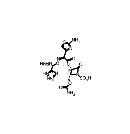 NC(=O)OC[C@@H]1[C@H](NC(=O)/C(=N\OCc2nnn[nH]2)c2csc(N)n2)C(=O)N1S(=O)(=O)O.[NaH].[NaH]